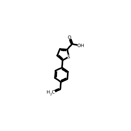 C=Cc1ccc(-c2ccc(C(=O)O)s2)cc1